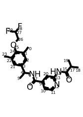 Cc1cc(C(C)NC(=O)c2ccnc(NC(=O)C(C)C)c2)cc(C)c1OCC(F)F